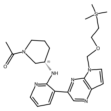 CC(=O)N1CCC[C@H](Nc2ncccc2-c2cnc3ccn(COCC[Si](C)(C)C)c3n2)C1